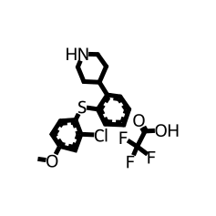 COc1ccc(Sc2ccccc2C2CCNCC2)c(Cl)c1.O=C(O)C(F)(F)F